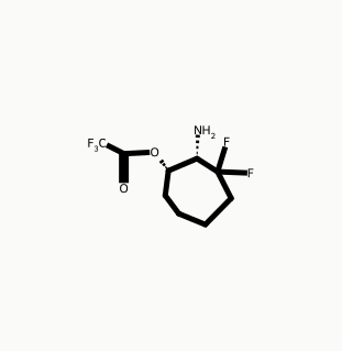 N[C@H]1[C@@H](OC(=O)C(F)(F)F)CCCCC1(F)F